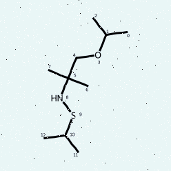 CC(C)OCC(C)(C)NSC(C)C